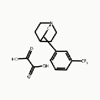 FC(F)(F)c1cccc(C2CN3CCC2CC3)c1.O=C(O)C(=O)O